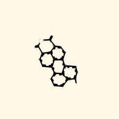 O=C(O)c1ccc2c3ccc4c5c(ccc(c6cccc1c62)c53)C(=O)NC4=O